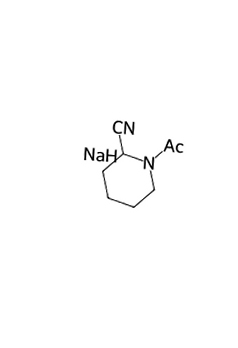 CC(=O)N1CCCCC1C#N.[NaH]